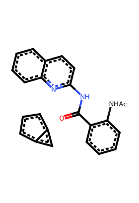 CC(=O)Nc1ccccc1C(=O)Nc1ccc2ccccc2n1.c1cc2cc-2c1